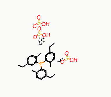 CCc1ccc(C)c(P(c2cc(CC)ccc2C)c2cc(CC)ccc2C)c1.O=[S-](=O)O.O=[S-](=O)O.O=[S-](=O)O.[Li+].[Li+].[Li+]